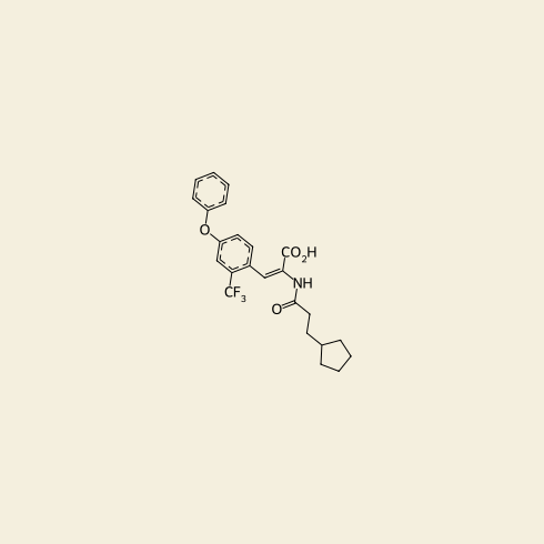 O=C(CCC1CCCC1)N/C(=C/c1ccc(Oc2ccccc2)cc1C(F)(F)F)C(=O)O